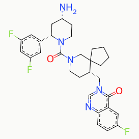 N[C@@H]1CCN(C(=O)N2CC[C@@H](Cn3cnc4ccc(F)cc4c3=O)C3(CCCC3)C2)[C@H](c2cc(F)cc(F)c2)C1